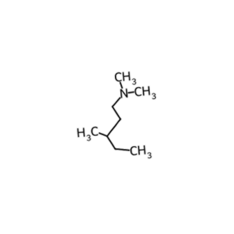 CCC(C)CCN(C)C